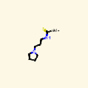 CNC(=S)NCCCN1C[CH]CC1